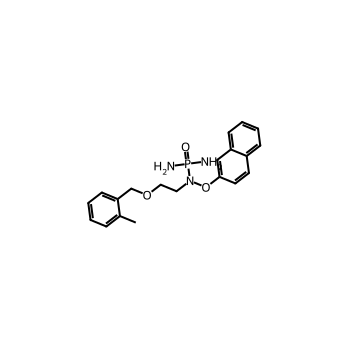 Cc1ccccc1COCCN(Oc1ccc2ccccc2c1)P(N)(N)=O